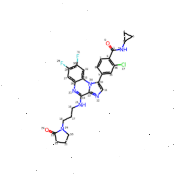 O=C(NC1CC1)c1ccc(-c2cnc3c(NCCCN4CCCC4=O)nc4cc(F)c(F)cc4n23)cc1Cl